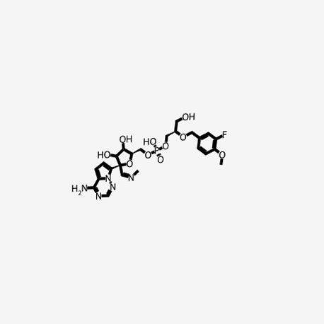 C/N=C\[C@@]1(c2ccc3c(N)ncnn23)O[C@H](COP(=O)(O)OC[C@@H](CO)OCc2ccc(OC)c(F)c2)C(O)C1O